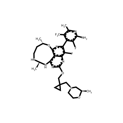 Cc1nc(N)c(F)c(-c2nc3c4c(nc(OCC5(CN6CCO[C@H](C)C6)CC5)nc4c2F)N[C@@H](C)NCC[C@H](C)O3)c1C(F)(F)F